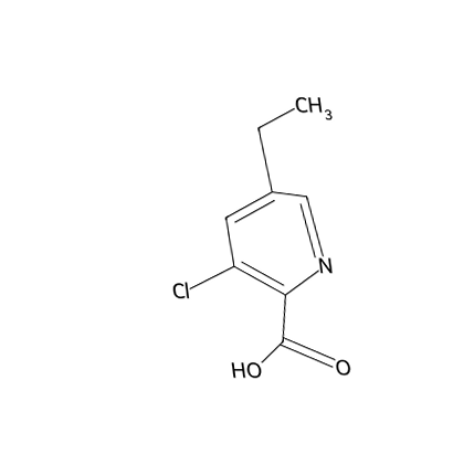 CCc1cnc(C(=O)O)c(Cl)c1